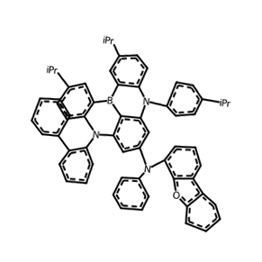 CC(C)c1ccc(N2c3ccc(C(C)C)cc3B3c4cc(C(C)C)ccc4N(c4ccccc4-c4ccccc4)c4cc(N(c5ccccc5)c5cccc6c5oc5ccccc56)cc2c43)cc1